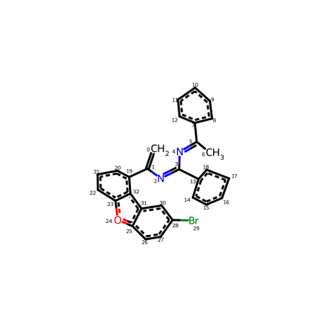 C=C(/N=C(\N=C(/C)c1ccccc1)c1ccccc1)c1cccc2oc3ccc(Br)cc3c12